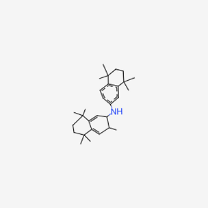 CC1C=C2C(=CC1Nc1ccc3c(c1)C(C)(C)CCC3(C)C)C(C)(C)CCC2(C)C